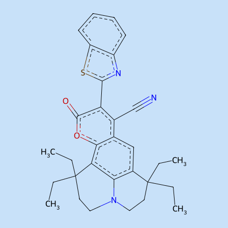 CCC1(CC)CCN2CCC(CC)(CC)c3c2c1cc1c(C#N)c(-c2nc4ccccc4s2)c(=O)oc31